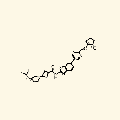 O=C(Nc1nc2ccc(-c3cnc(CO[C@H]4CCC[C@@H]4O)nc3)cc2s1)C1CC(N2CC[C@@H](OC(F)F)C2)C1